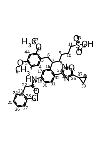 COc1ccc(CC(CCCCS(=O)(=O)O)c2cc(NC(=O)Cc3ccccc3Cl)ccc2-c2noc(C3CC3)n2)c(OC)c1